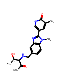 Cc1cc(-c2nc3cc(CNC(C(=O)OCC(C)C)[C@@H](C)O)ccc3n2C)c[nH]c1=O